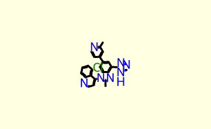 Cc1cc(-c2cc(-c3nnc[nH]3)c3nc(C)n(-c4ccnc5cccc(Cl)c45)c3c2)ccn1